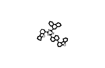 C1=C(c2nc(-c3cccc4c(-c5cccc6oc7ccccc7c56)cccc34)nc(-c3cc4ccccc4c4ccccc34)n2)c2oc3ccccc3c2CC1